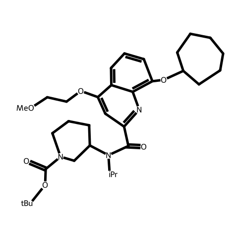 COCCOc1cc(C(=O)N(C(C)C)C2CCCN(C(=O)OC(C)(C)C)C2)nc2c(OC3CCCCCC3)cccc12